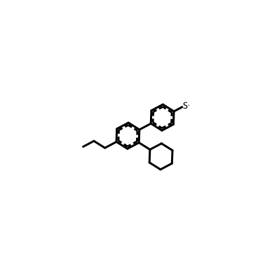 CCCc1ccc(-c2ccc([S])cc2)c(C2CCCCC2)c1